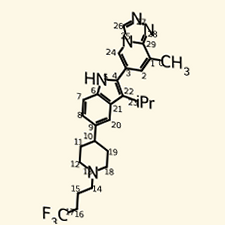 Cc1cc(-c2[nH]c3ccc(C4CCN(CCCC(F)(F)F)CC4)cc3c2C(C)C)cn2cnnc12